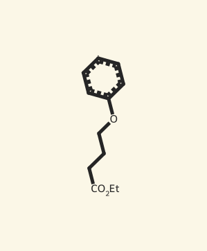 CCOC(=O)CCCOc1cc[c]cc1